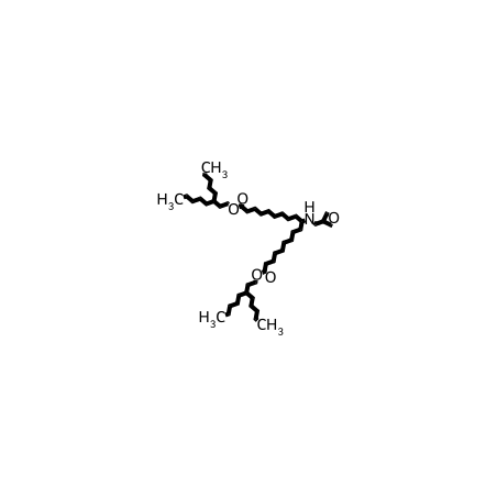 CCCCCC(CCCCC)CCOC(=O)CCCCCCCCC(CCCCCCCCC(=O)OCCC(CCCCC)CCCCC)NCC1COC1